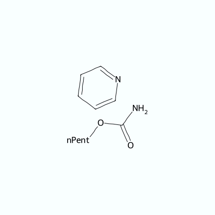 CCCCCOC(N)=O.c1ccncc1